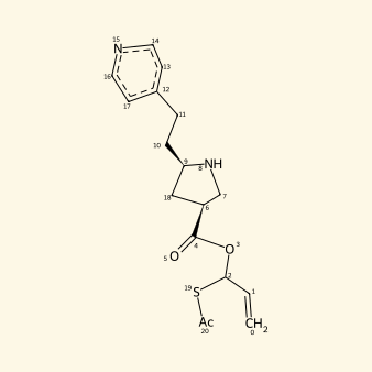 C=CC(OC(=O)[C@@H]1CN[C@H](CCc2ccncc2)C1)SC(C)=O